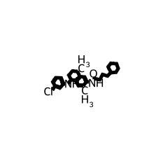 Cc1cc2c(cc1NC(=O)CCCC1CCCCC1)C(C)CCC2Nc1cccc(Cl)c1